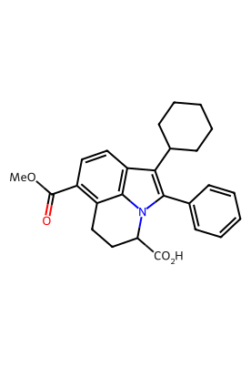 COC(=O)c1ccc2c(C3CCCCC3)c(-c3ccccc3)n3c2c1CCC3C(=O)O